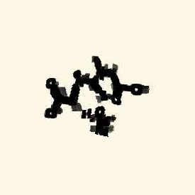 CN(CC(=O)[O-])C(=S)N(C)CC(=O)[O-].O.[Na+].[Na+]